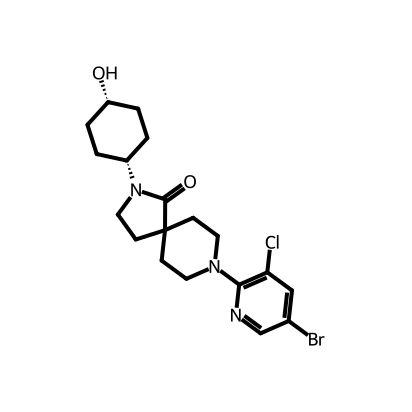 O=C1N([C@H]2CC[C@@H](O)CC2)CCC12CCN(c1ncc(Br)cc1Cl)CC2